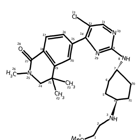 COCCN[C@H]1CC[C@H](Nc2ncc(Cl)c(-c3ccc4c(c3)C(C)(C)CN(C)C4=O)n2)CC1